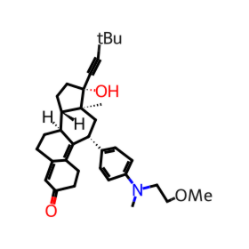 COCCN(C)c1ccc([C@H]2C[C@@]3(C)[C@@H](CC[C@@]3(O)C#CC(C)(C)C)[C@@H]3CCC4=CC(=O)CCC4=C32)cc1